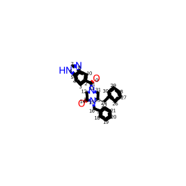 O=C(c1ccc2[nH]cnc2c1)N1CC(=O)N(Cc2ccccc2)[C@@H](Cc2ccccc2)C1